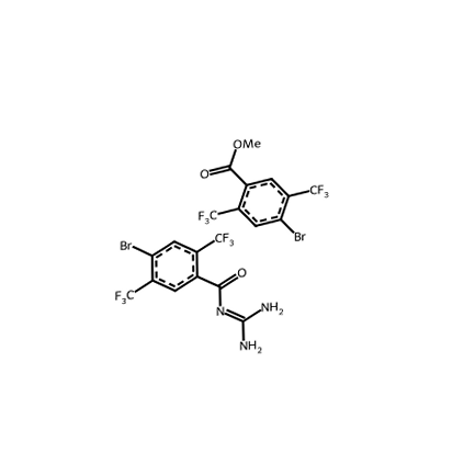 COC(=O)c1cc(C(F)(F)F)c(Br)cc1C(F)(F)F.NC(N)=NC(=O)c1cc(C(F)(F)F)c(Br)cc1C(F)(F)F